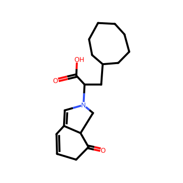 O=C1CC=CC2=CN(C(CC3CCCCCCC3)C(=O)O)CC12